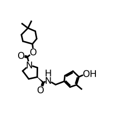 Cc1cc(CNC(=O)[C@H]2CCN(C(=O)OC3CCC(C)(C)CC3)C2)ccc1O